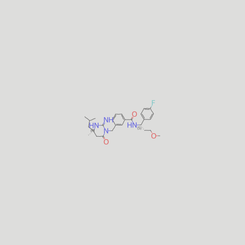 COCC[C@H](NC(=O)c1cccc(CN2C(=N)N[C@](C)(CC(C)C)CC2=O)c1)c1ccc(F)cc1